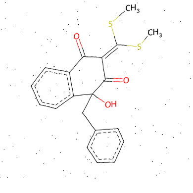 CSC(SC)=C1C(=O)c2ccccc2C(O)(Cc2ccccc2)C1=O